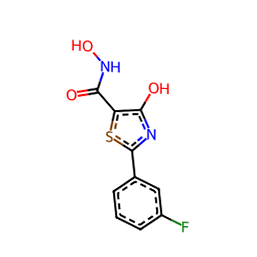 O=C(NO)c1sc(-c2cccc(F)c2)nc1O